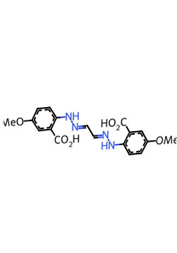 COc1ccc(N/N=C/C=N/Nc2ccc(OC)cc2C(=O)O)c(C(=O)O)c1